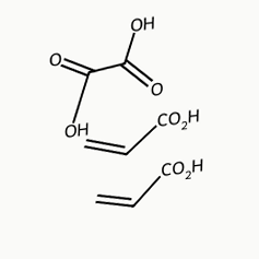 C=CC(=O)O.C=CC(=O)O.O=C(O)C(=O)O